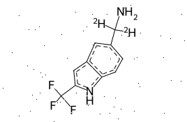 [2H]C([2H])(N)c1ccc2[nH]c(C(F)(F)F)cc2c1